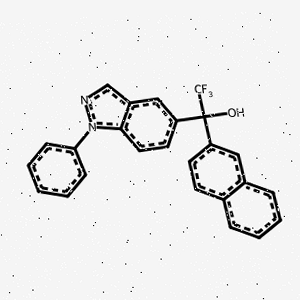 OC(c1ccc2ccccc2c1)(c1ccc2c(cnn2-c2ccccc2)c1)C(F)(F)F